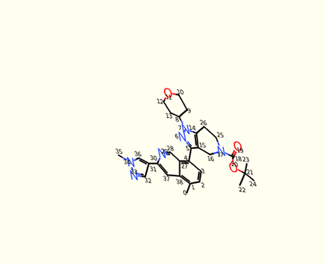 Cc1ccc(-c2nn(C3CCOCC3)c3c2CN(C(=O)OC(C)(C)C)CC3)c2cnc(-c3cnn(C)c3)cc12